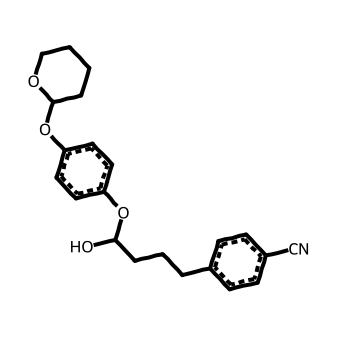 N#Cc1ccc(CCCC(O)Oc2ccc(OC3CCCCO3)cc2)cc1